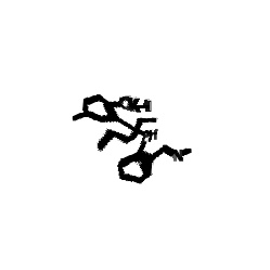 CCCC(CC)(Pc1ccccc1/C=N/C)c1cc(C)ccc1O